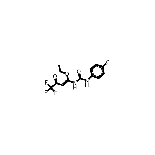 CCOC(=CC(=O)C(F)(F)F)NC(=O)Nc1ccc(Cl)cc1